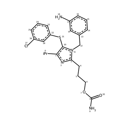 CC(C)c1nc(CCCOC(N)=O)n(Cc2cccc(N)c2)c1Sc1cccc(Cl)c1